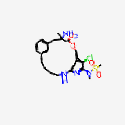 CN(c1nc2cc(c1Cl)COC(=O)C(C)(N)Cc1cccc(c1)CCCCN2)S(C)(=O)=O